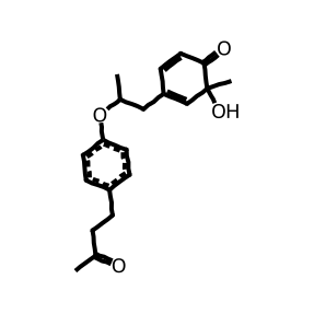 CC(=O)CCc1ccc(OC(C)CC2=CC(C)(O)C(=O)C=C2)cc1